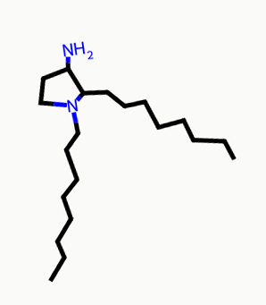 CCCCCCCCC1C(N)CCN1CCCCCCCC